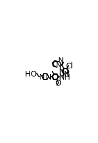 COc1cc(N2CCN(CCO)CC2)c(C)cc1Nc1ncc(Cl)c(-c2cnc3ccccn23)n1